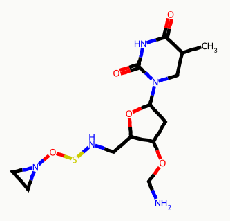 CC1CN(C2CC(OCN)C(CNSON3CC3)O2)C(=O)NC1=O